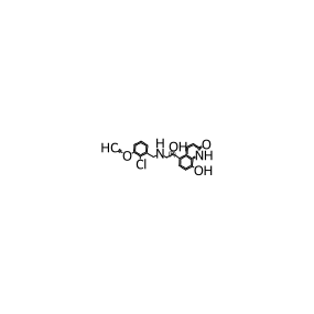 C#COc1cccc(CNC[C@H](O)c2ccc(O)c3[nH]c(=O)ccc23)c1Cl